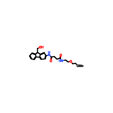 COCCOCCNC(=O)CCC(=O)Nc1ccc2c(c1)C(CO)c1ccccc1-2